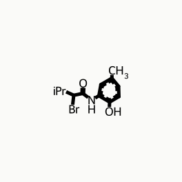 Cc1ccc(O)c(NC(=O)C(Br)C(C)C)c1